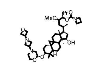 COC(C[C@@H](C)[C@H]1C[C@H](O)[C@@]2(C)C3CC[C@H]4C(C)(C)[C@@H](O[C@H]5CN(C6CN(C7COC7)C6)CCO5)CC[C@@]45CC35CC[C@]12C)[C@H](OC(=O)N1CCC1)C(C)C